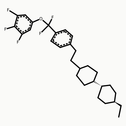 CC[C@H]1CC[C@H](C2CCC(CCc3ccc(C(F)(F)Oc4cc(F)c(F)c(F)c4)cc3)CC2)CC1